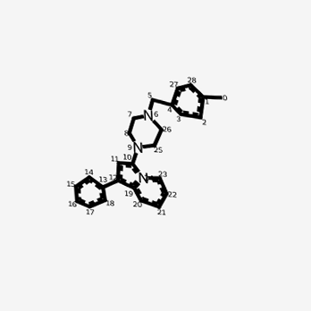 Cc1ccc(CN2CCN(c3cc(-c4ccccc4)c4ccccn34)CC2)cc1